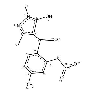 Cc1nn(C)c(O)c1C(=O)c1ccc(C(F)(F)F)cc1C[SH](=O)=O